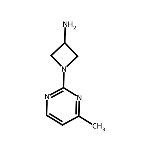 Cc1ccnc(N2CC(N)C2)n1